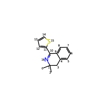 CC1(C)Cc2ccccc2C(c2cccs2)=N1